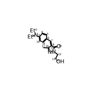 CCN(CC)c1ccc(C=C2C(=O)N(CCO)N=C2C)cc1